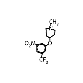 CN1CCC(Oc2cc([N+](=O)[O-])cc(C(F)(F)F)c2)CC1